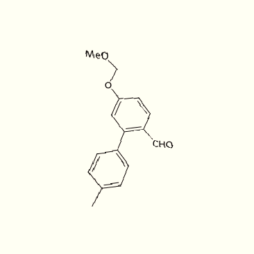 COCOc1ccc(C=O)c(-c2ccc(C)cc2)c1